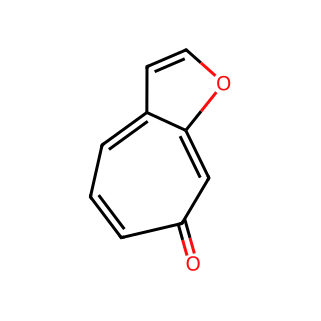 O=c1cccc2ccoc2c1